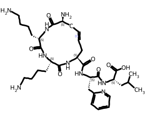 CC(C)C[C@H](NC(=O)[C@H](Cc1ccccn1)NC(=O)[C@@H]1C/C=C/C[C@H](N)C(=O)N[C@@H](CCCCN)C(=O)N[C@@H](CCCCN)C(=O)N1)C(=O)O